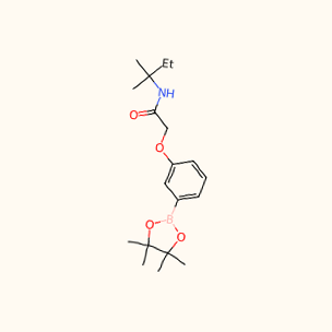 CCC(C)(C)NC(=O)COc1cccc(B2OC(C)(C)C(C)(C)O2)c1